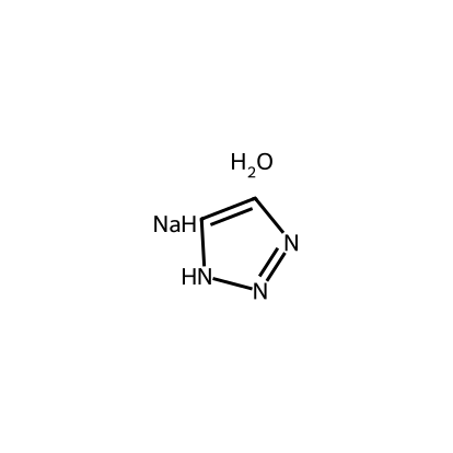 O.[NaH].c1c[nH]nn1